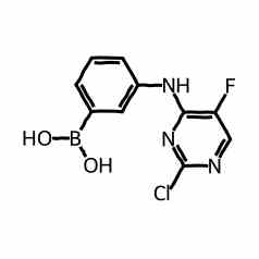 OB(O)c1cccc(Nc2nc(Cl)ncc2F)c1